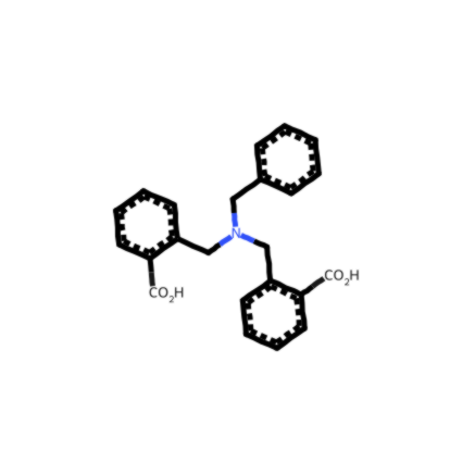 O=C(O)c1ccccc1CN(Cc1ccccc1)Cc1ccccc1C(=O)O